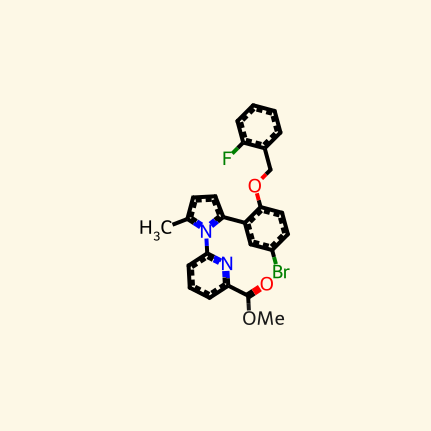 COC(=O)c1cccc(-n2c(C)ccc2-c2cc(Br)ccc2OCc2ccccc2F)n1